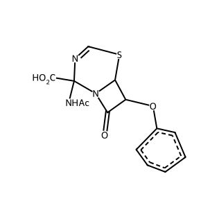 CC(=O)NC1(C(=O)O)N=CSC2C(Oc3ccccc3)C(=O)N21